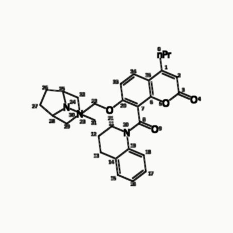 CCCc1cc(=O)oc2c(C(=O)N3CCCc4ccccc43)c(OCCN3C4CCC3CN(C)C4)ccc12